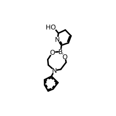 OC1CC=CC(B2OCCN(c3ccccc3)CCO2)=N1